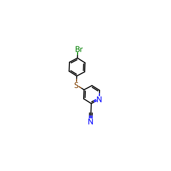 N#Cc1cc(Sc2ccc(Br)cc2)ccn1